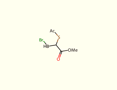 COC(=O)C(BBr)SC(C)=O